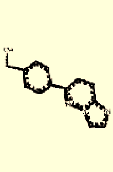 OCc1ccc(-c2ccc3nccn3n2)cc1